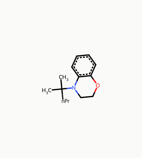 CCCC(C)(C)N1CCOc2ccccc21